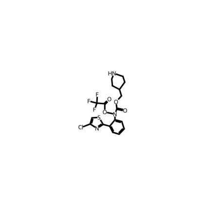 O=C(OCC1CCNCC1)N(OC(=O)C(F)(F)F)c1ccccc1-c1nc(Cl)cs1